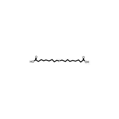 O=C(O)CCCCCCCC[P]CCCCCCCCC(=O)O